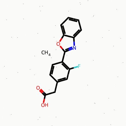 C.O=C(O)Cc1ccc(-c2nc3ccccc3o2)c(F)c1